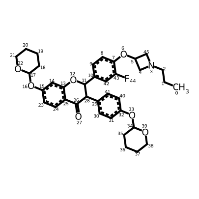 CCCN1CC(Oc2ccc(C3Oc4cc(OC5CCCCO5)ccc4C(=O)C3c3ccc(OC4CCCCO4)cc3)cc2F)C1